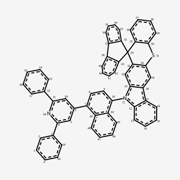 c1ccc(-c2cc(-c3ccc(-n4c5ccccc5c5cc6c(cc54)C4(c5ccccc5S6)c5ccccc5-c5ccccc54)c4ccccc34)cc(-c3ccccc3)n2)cc1